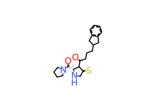 O=C(CCCC1Cc2ccccc2C1)C1C(=S)CN[C@@H]1C(=O)N1CCCC1